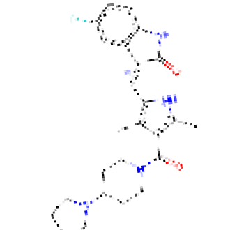 Cc1[nH]c(/C=C2\C(=O)Nc3ccc(F)cc32)c(C)c1C(=O)N1CCC(N2CCCC2)CC1